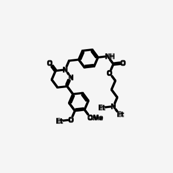 CCOc1cc(C2=NN(Cc3ccc(NC(=O)OCCCN(CC)CC)cc3)C(=O)CC2)ccc1OC